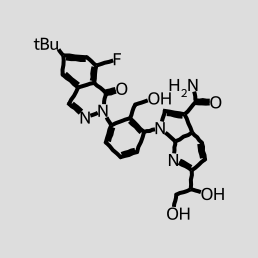 CC(C)(C)c1cc(F)c2c(=O)n(-c3cccc(N4C=C(C(N)=O)C5C=CC(C(O)CO)=NC54)c3CO)ncc2c1